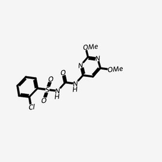 COc1cc(NC(=O)NS(=O)(=O)c2ccccc2Cl)nc(OC)n1